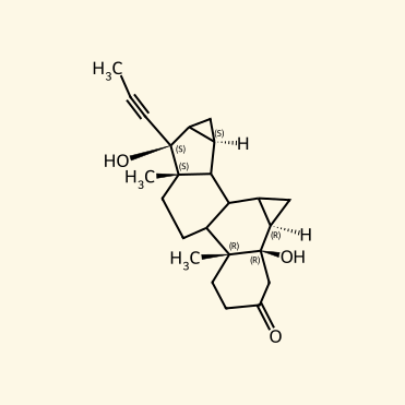 CC#C[C@]1(O)C2C[C@H]2C2C3C4C[C@H]4[C@]4(O)CC(=O)CC[C@]4(C)C3CC[C@@]21C